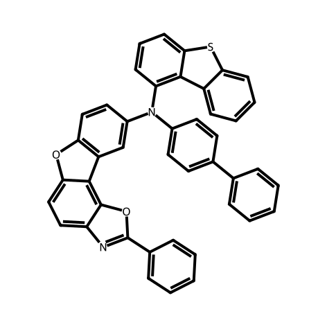 c1ccc(-c2ccc(N(c3ccc4oc5ccc6nc(-c7ccccc7)oc6c5c4c3)c3cccc4sc5ccccc5c34)cc2)cc1